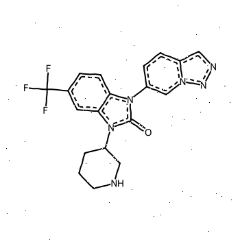 O=c1n(-c2ccc3cnnn3c2)c2ccc(C(F)(F)F)cc2n1C1CCCNC1